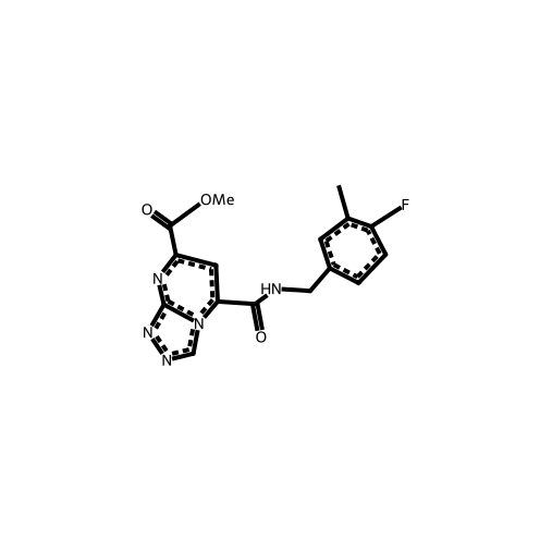 COC(=O)c1cc(C(=O)NCc2ccc(F)c(C)c2)n2cnnc2n1